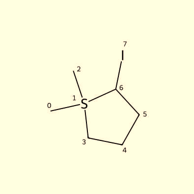 CS1(C)CCCC1I